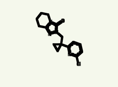 O=c1n(CC2(c3cccc(Cl)n3)CC2)nc2n1CCCC2